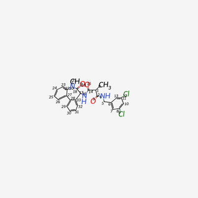 CC(C(=O)NCc1cc(Cl)cc(Cl)c1)C(=O)NC1C(=O)N(C)c2ccccc2-c2ccccc21